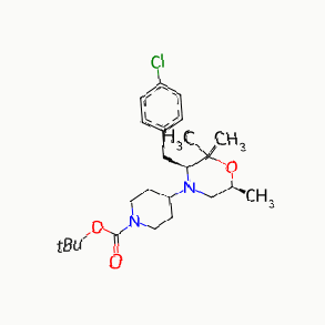 C[C@H]1CN(C2CCN(C(=O)OC(C)(C)C)CC2)[C@@H](Cc2ccc(Cl)cc2)C(C)(C)O1